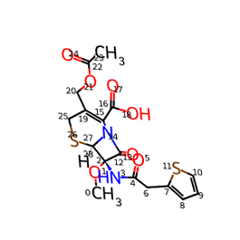 CO[C@@]1(NC(=O)Cc2cccs2)C(=O)N2C(C(=O)O)=C(COC(C)=O)CS[C@@H]21